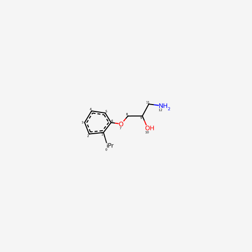 CC(C)c1ccccc1OCC(O)CN